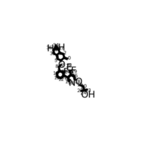 C=C1C=C2C(=CC1OCc1cccc(-c3cnc(OCCC(C)(C)O)cc3C(F)(F)F)c1)C[C@H]1C[C@@H]21